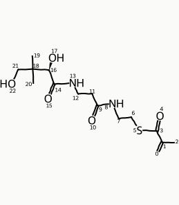 C=C(C)C(=O)SCCNC(=O)CCNC(=O)[C@H](O)C(C)(C)CO